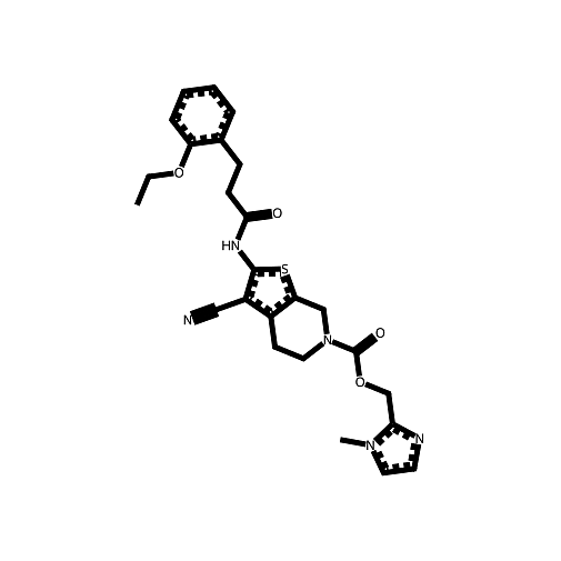 CCOc1ccccc1CCC(=O)Nc1sc2c(c1C#N)CCN(C(=O)OCc1nccn1C)C2